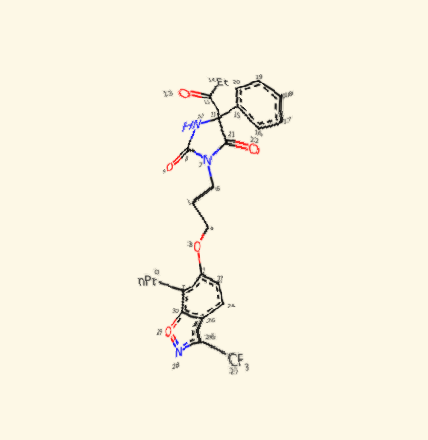 CCCc1c(OCCCN2C(=O)NC(C(=O)CC)(c3ccccc3)C2=O)ccc2c(C(F)(F)F)noc12